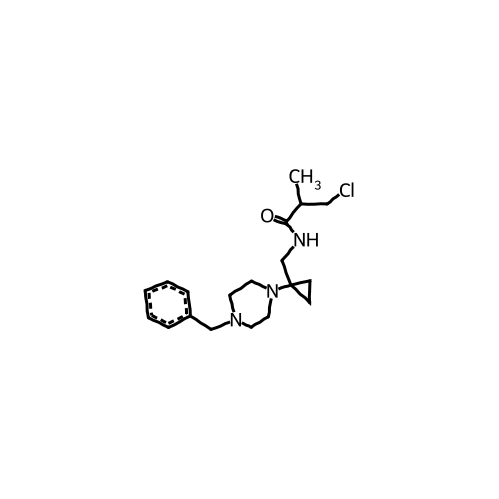 CC(CCl)C(=O)NCC1(N2CCN(Cc3ccccc3)CC2)CC1